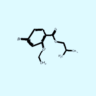 CCOc1cc(Br)ccc1C(=O)OCC(C)C